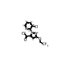 O=C(Cl)c1cc(OCC(F)(F)F)nn1-c1ncccc1Cl